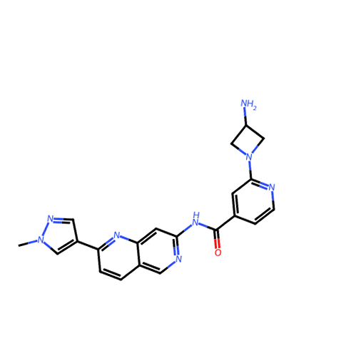 Cn1cc(-c2ccc3cnc(NC(=O)c4ccnc(N5CC(N)C5)c4)cc3n2)cn1